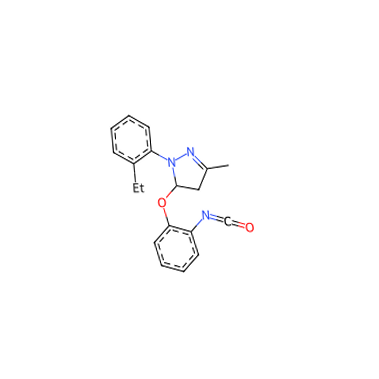 CCc1ccccc1N1N=C(C)CC1Oc1ccccc1N=C=O